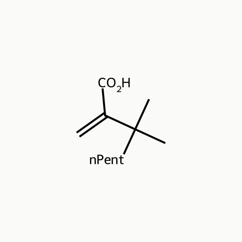 C=C(C(=O)O)C(C)(C)CCCCC